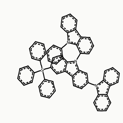 c1ccc(-n2c3ccccc3c3cccc(-n4c5ccc([Si](c6ccccc6)(c6ccccc6)c6ccccc6)cc5c5ccc(-n6c7ccccc7c7ccccc76)cc54)c32)cc1